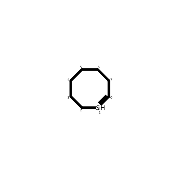 C1=[SiH]CCCCCC1